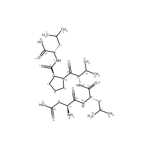 CC(C)C[C@H](NC(=O)[C@@H]1CCCN1C(=O)[C@@H](NC(=O)[C@H](CC(C)C)NC(=O)[C@@H](N)CC(=O)O)C(C)C)C(=O)O